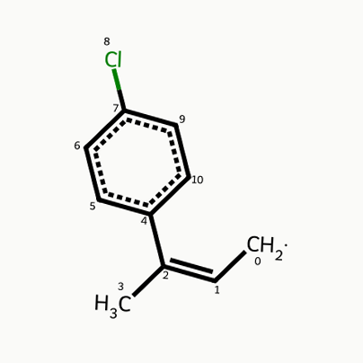 [CH2]/C=C(/C)c1ccc(Cl)cc1